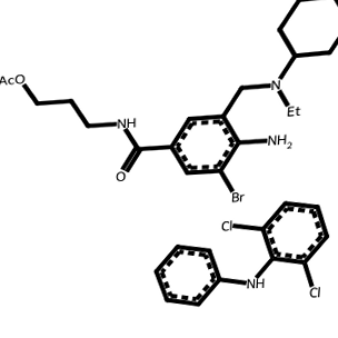 CCN(Cc1cc(C(=O)NCCCOC(C)=O)cc(Br)c1N)C1CCCCC1.Clc1cccc(Cl)c1Nc1ccccc1